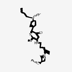 C=CCCN(CCC)c1ccc(-c2nc(N=C)c(NCCCC(=C)N3CC(C(C)=O)C3)cc2Cl)cc1